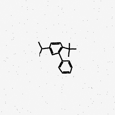 CC(I)c1ccc(C(C)(C)C)c(-c2ccccc2)c1